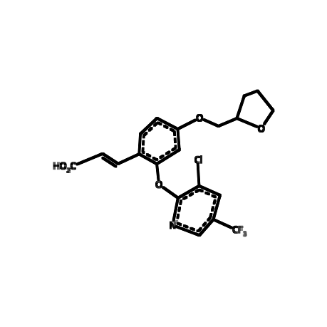 O=C(O)C=Cc1ccc(OCC2CCCO2)cc1Oc1ncc(C(F)(F)F)cc1Cl